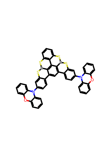 c1ccc2c(c1)Oc1ccccc1N2c1ccc2c(c1)SB1Sc3cccc4c3-c3c1c-2cc1c3B(Sc2cc(N3c5ccccc5Oc5ccccc53)ccc2-1)S4